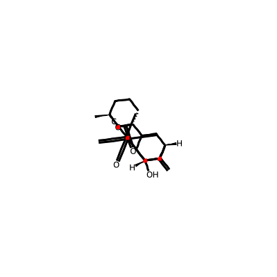 C=C1C(=O)C23CC[C@@H](CC2[C@@]24CCC[C@@](C)(COC2=O)C14)C(=C)[C@@H]3O